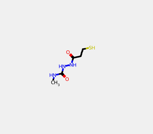 CNC(=O)NNC(=O)CCS